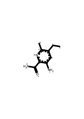 CCc1cc(N)c(C(N)=O)nc1C